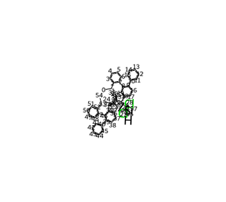 CCc1ccccc1-c1c(-c2ccccc2)ccc2c1C=C(C(C)C)[CH]2[Zr]([Cl])([Cl])([CH]1C(C(C)C)=Cc2c1ccc(-c1ccccc1)c2-c1ccccc1CC)[SiH](C)C